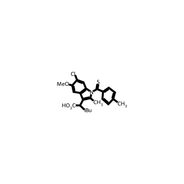 CCC(C)C(C(=O)O)c1c(C)n(C(=S)c2ccc(C)cc2)c2cc(Cl)c(OC)cc12